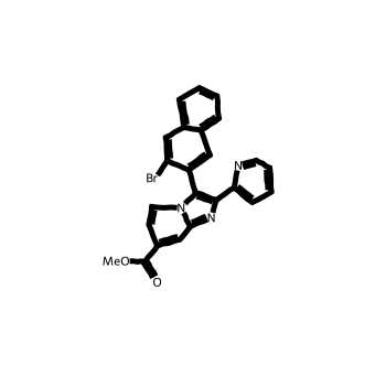 COC(=O)c1ccn2c(-c3cc4ccccc4cc3Br)c(-c3ccccn3)nc2c1